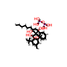 CCCCCCCCC(O)(c1ccccc1)C(CO)(CO)C(O)c1c(C(C)(C)C)cc(C)cc1C(C)(C)C.OP(O)OP(O)O